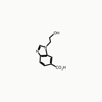 O=C(O)c1ccc2ncn(CCO)c2c1